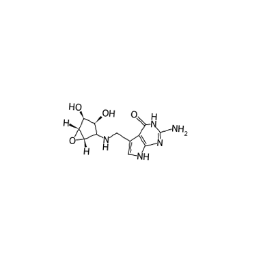 Nc1nc2[nH]cc(CNC3[C@H](O)[C@H](O)[C@H]4O[C@@H]34)c2c(=O)[nH]1